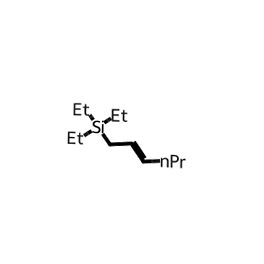 CCC/C=C/C[Si](CC)(CC)CC